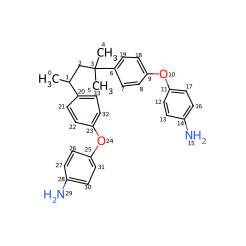 CC(CC(C)(C)c1ccc(Oc2ccc(N)cc2)cc1)c1ccc(Oc2ccc(N)cc2)cc1